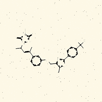 CC(=CC(C)n1oc(=O)[nH]c1=O)c1cccc(OCc2nc(-c3ccc(C(F)(F)F)cc3)oc2C)c1